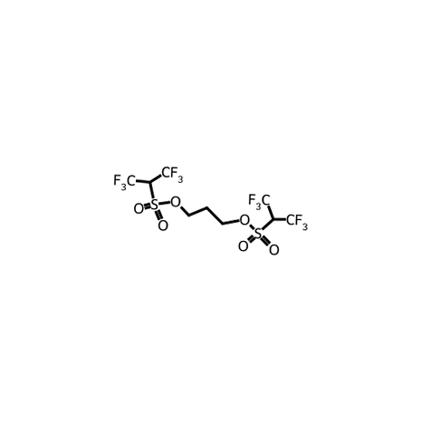 O=S(=O)(OCCCOS(=O)(=O)C(C(F)(F)F)C(F)(F)F)C(C(F)(F)F)C(F)(F)F